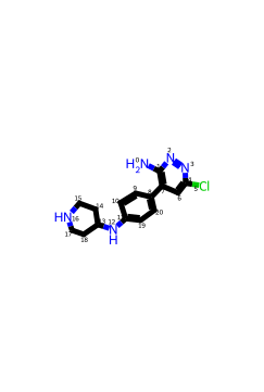 Nc1nnc(Cl)cc1-c1ccc(NC2CCNCC2)cc1